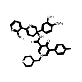 COc1ccc(C2(NC(=O)c3cn(CC4CCOCC4)cc(-c4ccc(C)cc4)c3=O)C=NC(c3cccnc3N)=CC2)cc1OC